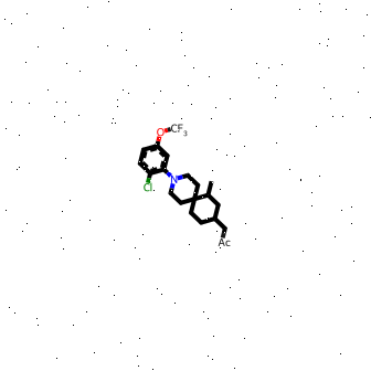 CC(=O)CC1CCC2(CCN(c3cc(OC(F)(F)F)ccc3Cl)CC2)C(C)C1